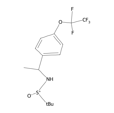 CC(N[S+]([O-])C(C)(C)C)c1ccc(OC(F)(F)C(F)(F)F)cc1